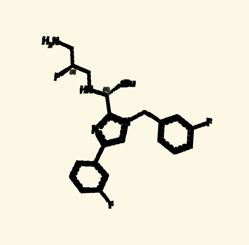 CC(C)(C)[C@@H](NC[C@@H](F)CN)c1nc(-c2cccc(F)c2)cn1Cc1cccc(F)c1